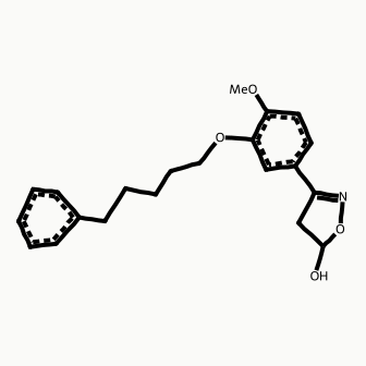 COc1ccc(C2=NOC(O)C2)cc1OCCCCCc1ccccc1